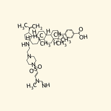 C=C(C)[C@@H]1CC[C@]2(NCCN3CCN(S(=O)(=O)/C=C/N(C)C=N)CC3)CC[C@]3(C)[C@H](CC[C@@H]4[C@@]5(C)CC=C(c6ccc(C(=O)O)cc6)C(C)(C)[C@@H]5CC[C@]43C)[C@@H]12